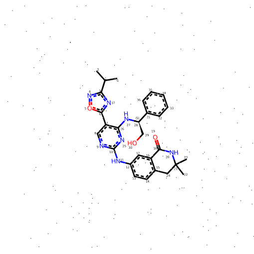 CC(C)c1noc(-c2cnc(Nc3ccc4c(c3)C(=O)NC(C)(C)C4)nc2N[C@H](CO)c2ccccc2)n1